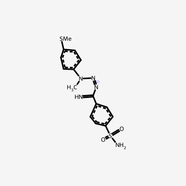 CSc1ccc(N(C)/N=N\C(=N)c2ccc(S(N)(=O)=O)cc2)cc1